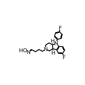 ON=CCCCN1CC[C@@H]2[C@@H](C1)c1cc(F)ccc1N2c1ccc(F)cc1